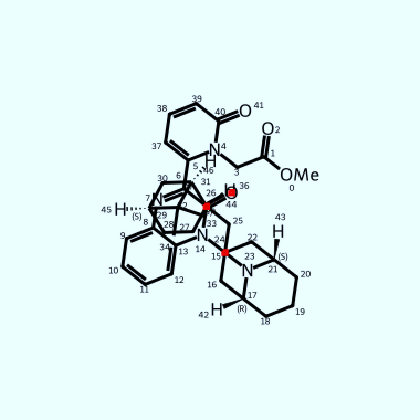 COC(=O)Cn1c(-c2nc3ccccc3n(C3C[C@H]4CCC[C@@H](C3)N4CC[C@@H]3CC[C@H]4C[C@@H]3C4(C)C)c2=O)cccc1=O